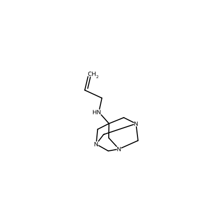 C=CCNC12CN3CN(CN(C3)C1)C2